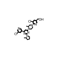 CC1CN(c2ncc(CO)cc2Cl)CCN1c1cc(-c2cncc(Cl)c2)nc(N2CCCC2C)n1